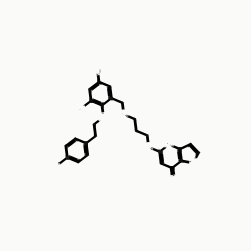 O=c1cc(NCCCNCc2cc(Br)cc(Br)c2OCCc2ccc(Cl)cc2)[nH]c2ccsc12